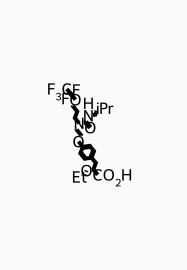 CCOC(Cc1ccc(OCCN(CCCOC(F)(F)C(F)(F)F)C(=O)NCC(C)C)cc1)C(=O)O